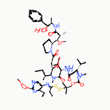 CC/C(=N\c1cnc(OC)nc1CC)SSC(C)(C)COC(=O)N(C)[C@H](C(=O)N[C@H](C(=O)N(C)[C@@H]([C@@H](C)CC)[C@@H](CC(=O)N1CCC[C@H]1[C@H](OC)[C@@H](C)C(=O)N[C@H](C)[C@@H](O)c1ccccc1)OC)C(C)C)C(C)C